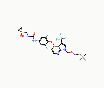 C[Si](C)(C)CCOCn1cc(C(F)(F)F)c2c(Oc3c(F)cc(NC(=O)NCC4(O)CC4)cc3F)ccnc21